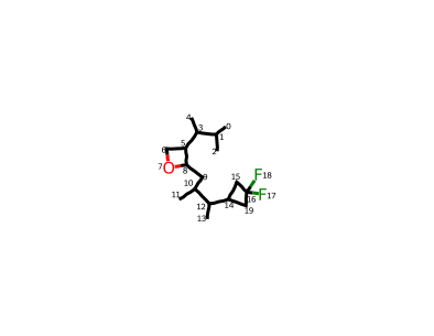 CC(C)C(C)C1COC1CC(C)C(C)C1CC(F)(F)C1